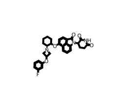 O=C1CCC(N2C(=O)c3ccc(OC4CCCC[C@@H]4N4CC(Oc5cccc(F)c5)C4)c4cccc2c34)C(=O)N1